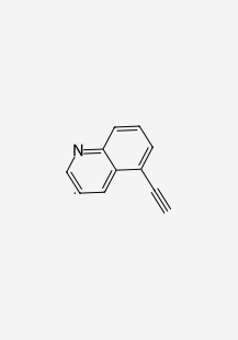 C#Cc1cccc2nc[c]cc12